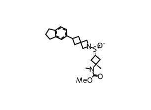 COC(=O)N(C)[C@]1(C)C[C@H]([S+]([O-])N2CC3(CC(c4ccc5c(c4)CCC5)C3)C2)C1